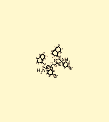 NC(CCc1cccc2ccccc12)(OC(=O)CCC(=O)OC(N)(CCc1cccc2ccccc12)c1ccc(Br)cc1)c1ccc(Br)cc1